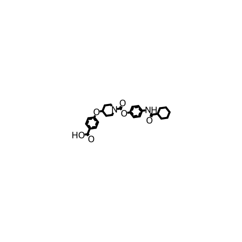 O=C(O)c1ccc(OC2CCN(C(=O)Oc3ccc(NC(=O)C4CCCCC4)cc3)CC2)cc1